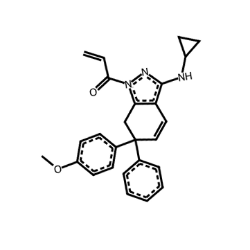 C=CC(=O)n1nc(NC2CC2)c2c1CC(c1ccccc1)(c1ccc(OC)cc1)C=C2